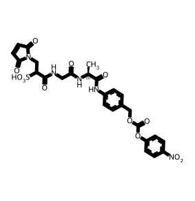 C[C@H](NC(=O)CNC(=O)C(CN1C(=O)C=CC1=O)S(=O)(=O)O)C(=O)Nc1ccc(COC(=O)Oc2ccc([N+](=O)[O-])cc2)cc1